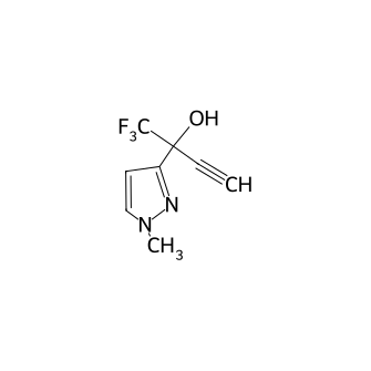 C#CC(O)(c1ccn(C)n1)C(F)(F)F